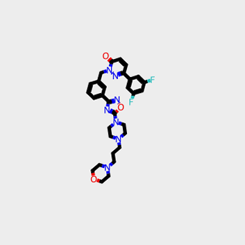 O=c1ccc(-c2cc(F)cc(F)c2)nn1Cc1cccc(-c2noc(N3CCN(CCCN4CCOCC4)CC3)n2)c1